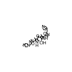 Cc1[nH]c(-c2nnc(CN3CCN(C)CC3)o2)c(C)c1C(=O)c1c(C)[nH]c(-c2nnc(CN3CCN(C)CC3)o2)c1C.Cl